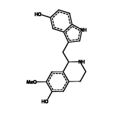 COc1cc2c(cc1O)CCNC2Cc1c[nH]c2ccc(O)cc12